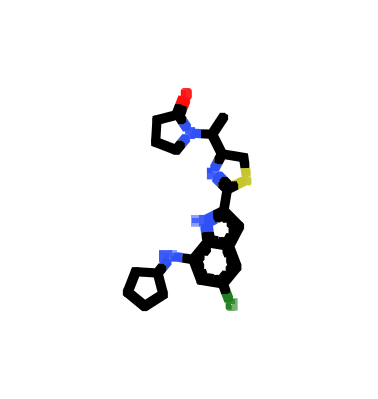 CC(C1CSC(c2cc3cc(Cl)cc(NC4CCCC4)c3[nH]2)=N1)N1CCCC1=O